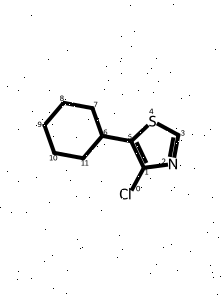 Clc1ncsc1C1CCCCC1